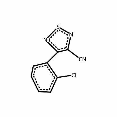 N#Cc1nsnc1-c1ccccc1Cl